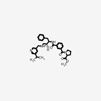 COC(=O)C1CCCN1C(=O)c1cccc(C(=O)NC(Cc2ccccc2)[C@H](O)CNCc2cncc(C(C)C)c2)c1